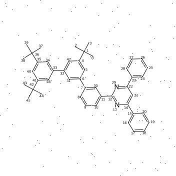 CC(C)(C)c1cc(-c2cccc(-c3nc(-c4ccccc4)cc(-c4ccccc4)n3)c2)cc(-c2cc(C(C)(C)C)cc(C(C)(C)C)c2)c1